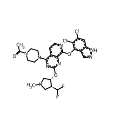 CC(=O)N1CCN(c2nc(O[C@H]3CN(C)C[C@@H]3C(F)F)nc3c(Oc4c(Cl)c(Cl)cc5[nH]ncc45)nccc23)CC1